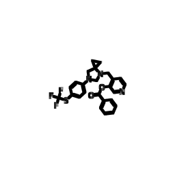 O=C(Oc1cnccc1CN1CN(c2ccc(SC(F)(F)F)cc2)CC12CC2)c1ccccc1